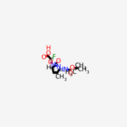 CC1=C[C@@H]2CN(C(=O)N2O[C@@H](F)C(=O)O)[C@@H]1CNC(=O)OC(C)(C)C